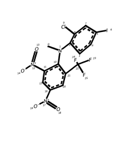 CN(c1ccc(I)cc1Cl)c1c([N+](=O)[O-])cc([N+](=O)[O-])cc1C(F)(F)F